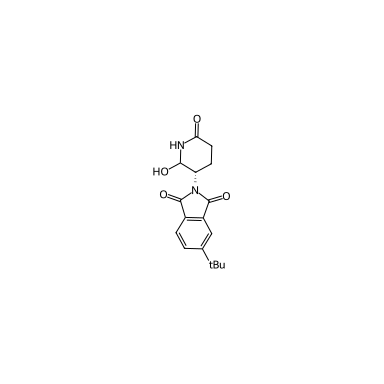 CC(C)(C)c1ccc2c(c1)C(=O)N([C@H]1CCC(=O)NC1O)C2=O